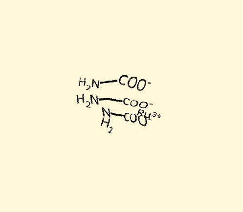 NC(=O)[O-].NC(=O)[O-].NC(=O)[O-].[Ru+3]